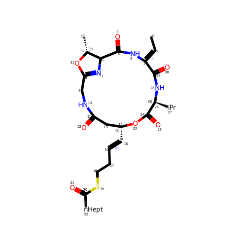 C/C=C1\NC(=O)C2N=C(CNC(=O)C[C@@H](/C=C/CCSC(=O)CCCCCCC)OC(=O)[C@H](C(C)C)NC1=O)O[C@@H]2C